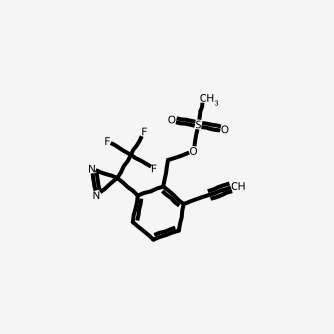 C#Cc1cccc(C2(C(F)(F)F)N=N2)c1COS(C)(=O)=O